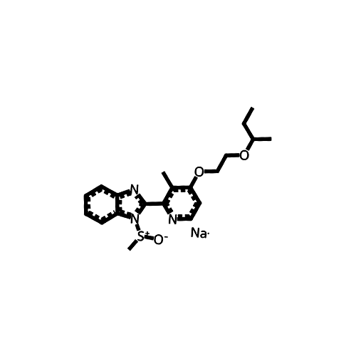 CCC(C)OCCOc1ccnc(-c2nc3ccccc3n2[S+](C)[O-])c1C.[Na]